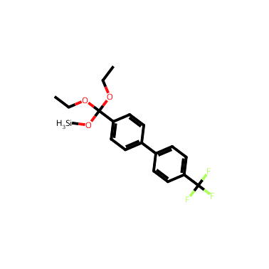 CCOC(O[SiH3])(OCC)c1ccc(-c2ccc(C(F)(F)F)cc2)cc1